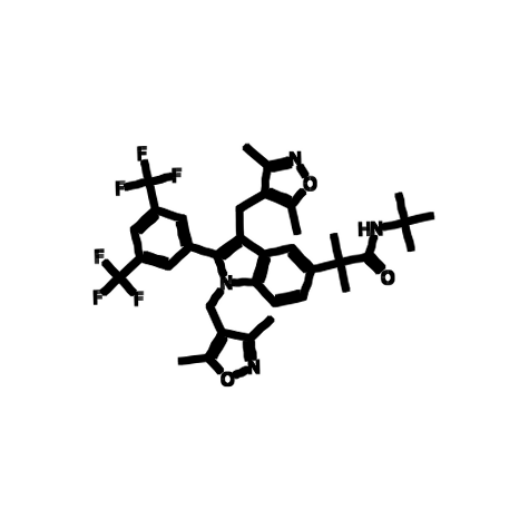 Cc1noc(C)c1Cc1c(-c2cc(C(F)(F)F)cc(C(F)(F)F)c2)n(Cc2c(C)noc2C)c2ccc(C(C)(C)C(=O)NC(C)(C)C)cc12